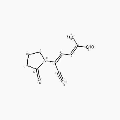 C#C/C(=C\C=C(/C)C=O)N1CCCC1=O